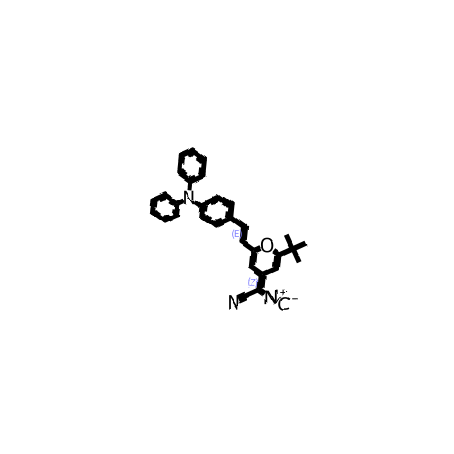 [C-]#[N+]/C(C#N)=C1C=C(/C=C/c2ccc(N(c3ccccc3)c3ccccc3)cc2)OC(C(C)(C)C)=C/1